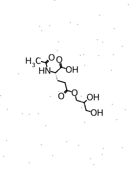 CC(=O)N[C@@H](CCC(=O)OCC(O)CO)C(=O)O